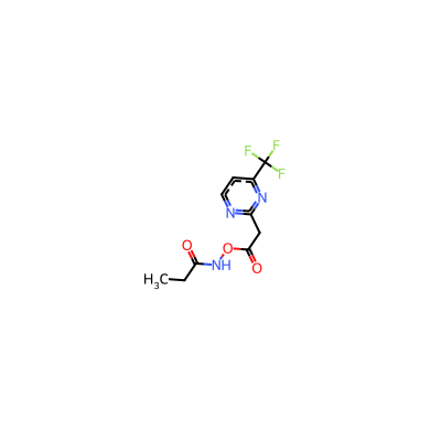 CCC(=O)NOC(=O)Cc1nccc(C(F)(F)F)n1